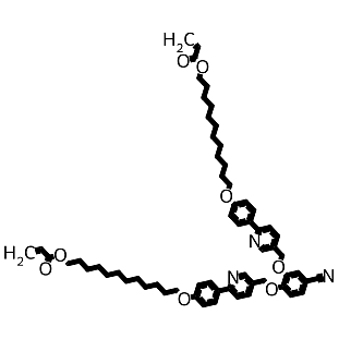 C=CC(=O)OCCCCCCCCCCCCOc1ccc(-c2ccc(COc3ccc(C#N)cc3OCc3ccc(-c4ccc(OCCCCCCCCCCCCOC(=O)C=C)cc4)nc3)cn2)cc1